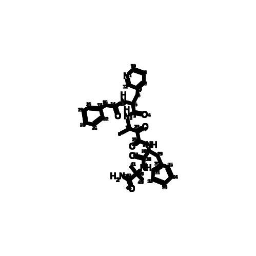 CC(NC(=O)C(Cc1cccnc1)NC(=O)Cc1ccccc1)C(=O)C(=O)NC(Cc1ccccc1)C(=O)NC(C)(C)C(N)=O